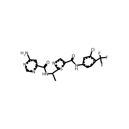 CC(NC(=O)c1cc(N)ncn1)c1ncc(C(=O)Nc2ccc(C(F)(F)F)c(Cl)c2)s1